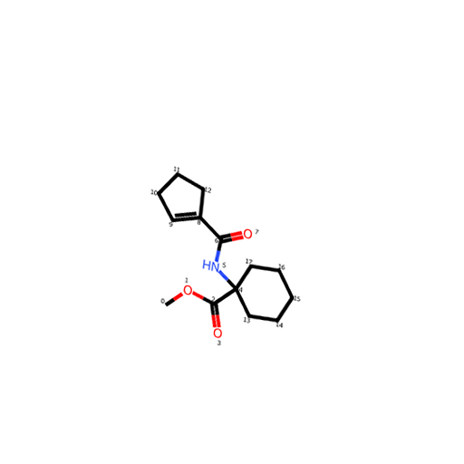 COC(=O)C1(NC(=O)C2=CCCC2)CCCCC1